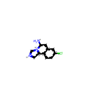 Nc1cc2cc(Cl)ccc2c2cncn12